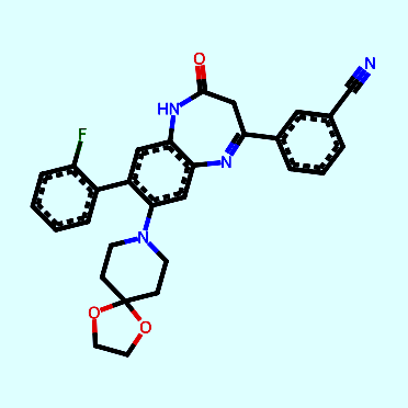 N#Cc1cccc(C2=Nc3cc(N4CCC5(CC4)OCCO5)c(-c4ccccc4F)cc3NC(=O)C2)c1